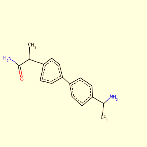 CC(C(N)=O)c1ccc(-c2ccc(C(N)C(F)(F)F)cc2)cc1